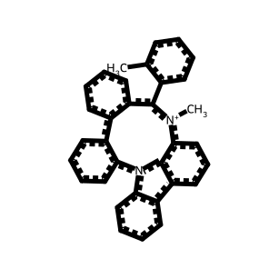 Cc1ccccc1-c1c2ccccc2c2ccccc2n2c3ccccc3c3cccc(c32)[n+]1C